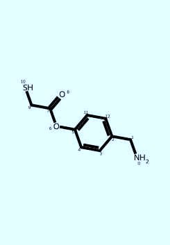 NCc1ccc(OC(=O)CS)cc1